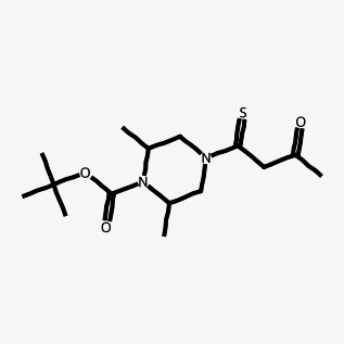 CC(=O)CC(=S)N1CC(C)N(C(=O)OC(C)(C)C)C(C)C1